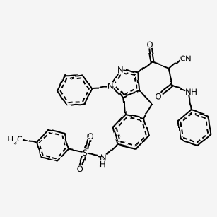 Cc1ccc(S(=O)(=O)Nc2ccc3c(c2)-c2c(c(C(=O)C(C#N)C(=O)Nc4ccccc4)nn2-c2ccccc2)C3)cc1